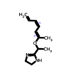 C=C/C=C\C=C(/C)OC(C)C1=NCCN1